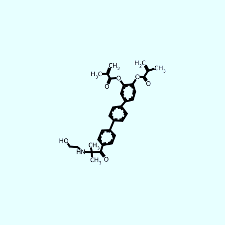 C=C(C)C(=O)Oc1ccc(-c2ccc(-c3ccc(C(=O)C(C)(C)NCCO)cc3)cc2)cc1OC(=O)C(=C)C